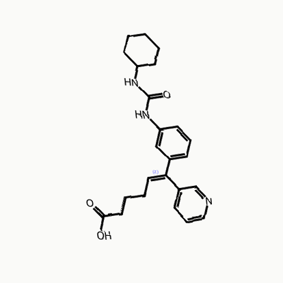 O=C(O)CCC/C=C(\c1cccnc1)c1cccc(NC(=O)NC2CCCCC2)c1